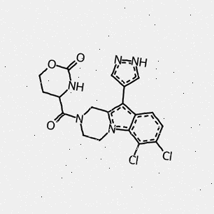 O=C1NC(C(=O)N2CCn3c(c(-c4cn[nH]c4)c4ccc(Cl)c(Cl)c43)C2)CCO1